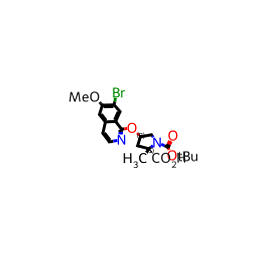 COc1cc2ccnc(O[C@H]3CN(C(=O)OC(C)(C)C)[C@](C)(C(=O)O)C3)c2cc1Br